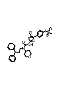 CS(=O)(=O)Nc1ccc(-c2nc(NC(=O)N(CCC(c3ccccc3)c3ccccc3)C3CCOCC3)sc2Cl)cc1